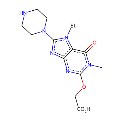 CCn1c(N2CCNCC2)nc2nc(OCC(=O)O)n(C)c(=O)c21